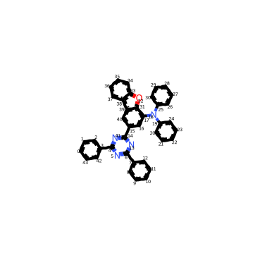 c1ccc(-c2nc(-c3ccccc3)nc(-c3cc(N(c4ccccc4)c4ccccc4)c4oc5ccccc5c4c3)n2)cc1